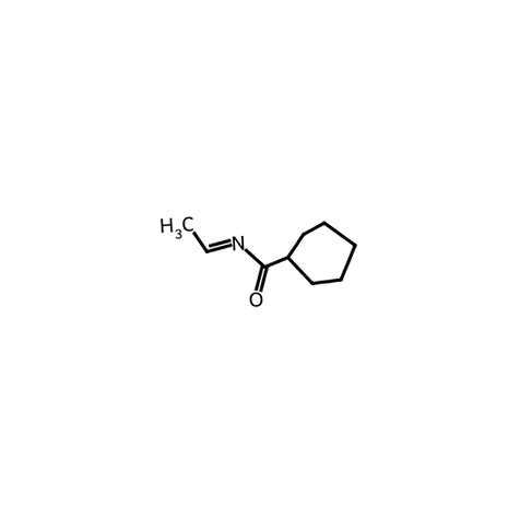 C/C=N/C(=O)C1CCCCC1